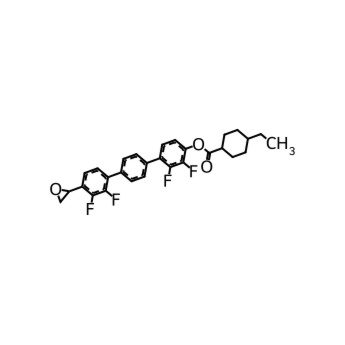 CCC1CCC(C(=O)Oc2ccc(-c3ccc(-c4ccc(C5CO5)c(F)c4F)cc3)c(F)c2F)CC1